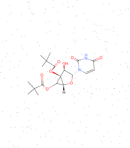 CC(C)(C)C(=O)OC1[C@H]2O[C@@H](n3ccc(=O)[nH]c3=O)[C@H](O)[C@@]12OC(=O)C(C)(C)C